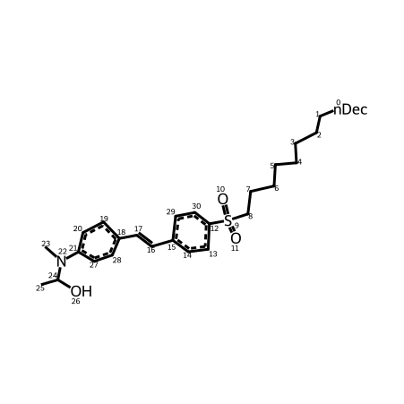 CCCCCCCCCCCCCCCCCCS(=O)(=O)c1ccc(C=Cc2ccc(N(C)C(C)O)cc2)cc1